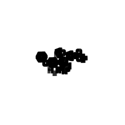 CC(C)(C)OC(=O)N1CC[C@@H](n2c(-c3ncco3)c(-c3ccc(Oc4ccccc4)cc3)c3c(N)ncnc32)C1